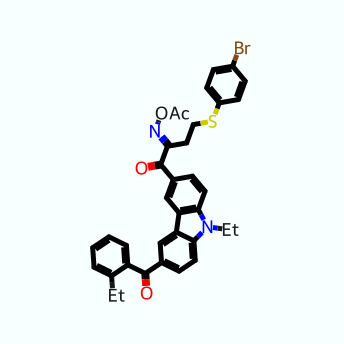 CCc1ccccc1C(=O)c1ccc2c(c1)c1cc(C(=O)/C(CCSc3ccc(Br)cc3)=N/OC(C)=O)ccc1n2CC